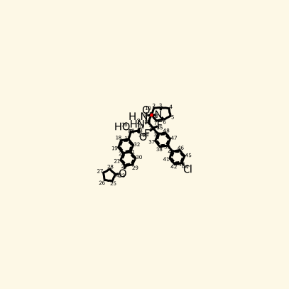 NC1CC2CCC(C1)N2C(=O)[C@@H](NC(=O)[C@H](O)c1ccc2cc(OC3CCCC3)ccc2c1)C(F)(F)c1ccc(-c2ccc(Cl)cc2)cc1